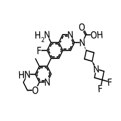 Cc1c(-c2cc3cc(N(C(=O)O)[C@H]4C[C@H](N5CC(F)(F)C5)C4)ncc3c(N)c2F)cnc2c1NCCO2